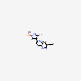 C#Cc1cnc2ccc(-c3cn(PI)nc3I)nc2c1